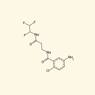 Nc1ccc(Cl)c(C(=O)NCCC(=O)NC(F)C(F)F)c1